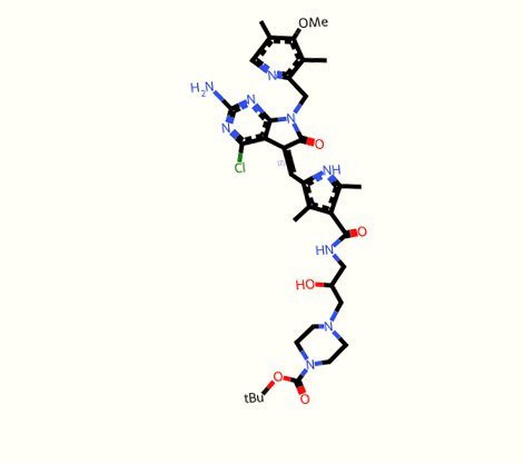 COc1c(C)cnc(CN2C(=O)/C(=C\c3[nH]c(C)c(C(=O)NCC(O)CN4CCN(C(=O)OC(C)(C)C)CC4)c3C)c3c(Cl)nc(N)nc32)c1C